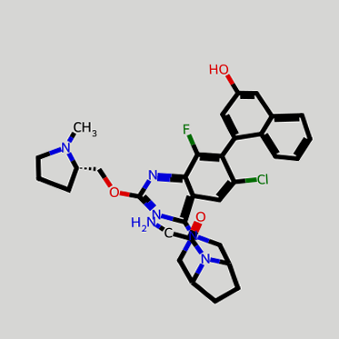 CN1CCC[C@H]1COc1nc(N2CC3CCC(C2)N3C(=O)CN)c2cc(Cl)c(-c3cc(O)cc4ccccc34)c(F)c2n1